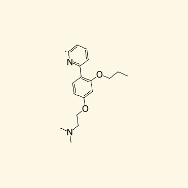 CCCOc1cc(OCCN(C)C)ccc1-c1ccc[c]n1